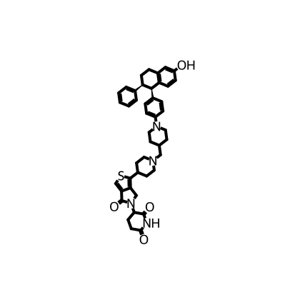 O=C1CCC(N2Cc3c(csc3C3CCN(CC4CCN(c5ccc([C@@H]6c7ccc(O)cc7CC[C@@H]6c6ccccc6)cc5)CC4)CC3)C2=O)C(=O)N1